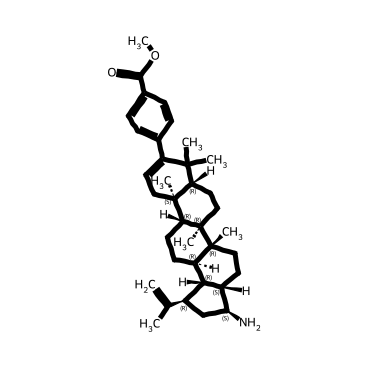 C=C(C)[C@@H]1C[C@H](N)[C@H]2CC[C@]3(C)[C@H](CC[C@@H]4[C@@]5(C)CC=C(c6ccc(C(=O)OC)cc6)C(C)(C)[C@@H]5CC[C@]43C)[C@H]21